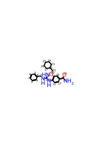 N=C(NCc1ccccc1)Nc1ccc(C(N)=O)cc1OCC1CCCCC1